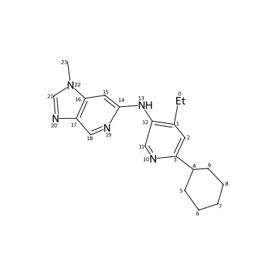 CCc1cc(C2CCCCC2)ncc1Nc1cc2c(cn1)ncn2C